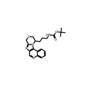 CC(C)(C)OC(=O)NCCCC1COCc2nc3cnc4ccccc4c3n21